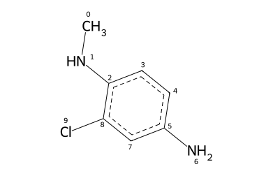 CNc1ccc(N)cc1Cl